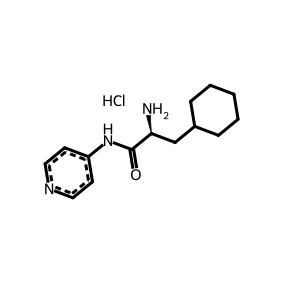 Cl.N[C@@H](CC1CCCCC1)C(=O)Nc1ccncc1